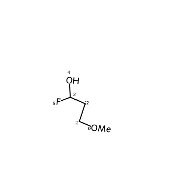 COC[CH]C(O)F